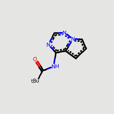 CC(C)(C)C(=O)Nc1ncnn2cccc12